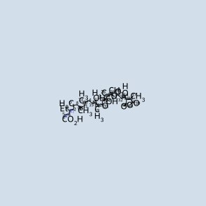 C=C(/C=C(/C=C/C(=O)O)CC)C[C@H](C)C[C@@H](C)CC[C@H](O)[C@H](C)C(=O)C[C@@H](O)[C@H](C)[C@@H](C)OC(=O)C[C@@H](O)C1=C(C)C(=O)OC1=O